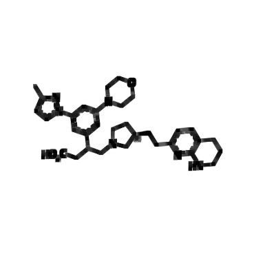 Cc1ccn(-c2cc(C(CC(=O)O)CN3CC[C@@H](CCc4ccc5c(n4)NCCC5)C3)cc(N3CCOCC3)c2)n1